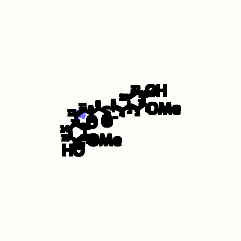 COc1cc(C=C[S+]([O-])CC(=O)/C=C\c2ccc(O)c(OC)c2)ccc1O